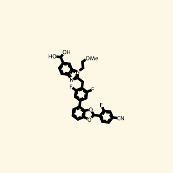 COCCn1c(Cc2c(F)cc(-c3cccc4c3OC(c3ccc(C#N)cc3F)O4)cc2F)nc2ccc(C(O)O)cc21